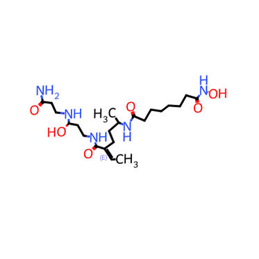 C/C=C(\CCC(C)NC(=O)CCCCCCC(=O)NO)C(=O)NCCC(O)NCCC(N)=O